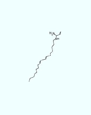 CCCCCCCCC=CCCCCCCCCNC(N)CC